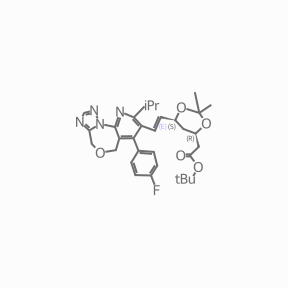 CC(C)c1nc2c(c(-c3ccc(F)cc3)c1/C=C/[C@@H]1C[C@H](CC(=O)OC(C)(C)C)OC(C)(C)O1)COCc1ncnn1-2